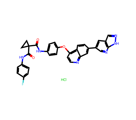 Cl.O=C(Nc1ccc(F)cc1)C1(C(=O)Nc2ccc(Oc3ccnc4cc(-c5cnc6[nH]ncc6c5)ccc34)cc2)CC1